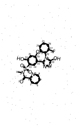 CN(C(=O)c1ccccn1)S(=O)(=O)c1cc(-c2nnc(O)n2-c2ccccc2F)c(O)cc1O